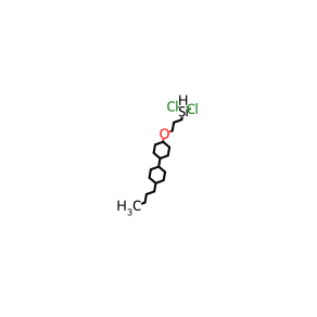 CCCCC1CCC(C2CCC(OCCC[SiH](Cl)Cl)CC2)CC1